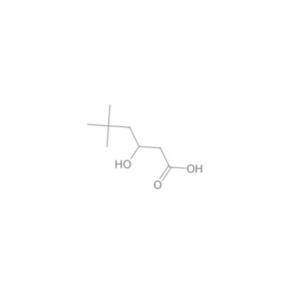 CC(C)(C)CC(O)CC(=O)O